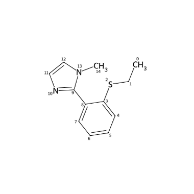 CCSc1ccccc1-c1nccn1C